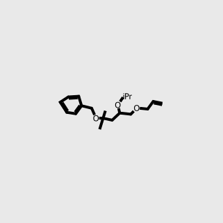 C=CCOCC(CC(C)(C)OCc1ccccc1)OC(C)C